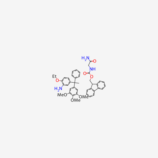 CCOc1ccc(C(C)(c2ccccc2)c2cc(OC)c(OC)c(OC)c2)cc1N.NC(=O)CNC(=O)OCC1c2ccccc2-c2ccccc21